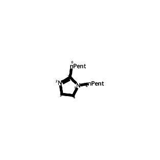 CCCCCC1=NCCN1CCCCC